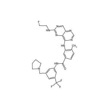 Cc1ccc(C(=O)Nc2cc(CN3CCCC3)cc(C(F)(F)F)c2)cc1Nc1ncnc2cnc(NCCF)nc12